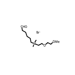 COCCOCC[N+](C)(C)CCCCCC=O.[Br-]